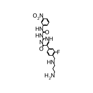 NCCCNCc1ccc(-c2c[nH]c(NC(=O)Nc3cccc([N+](=O)[O-])c3)nc2=O)cc1F